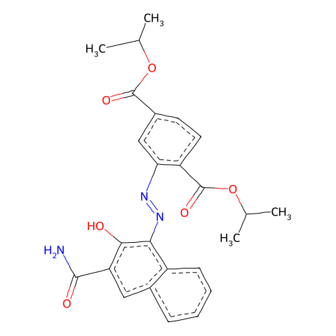 CC(C)OC(=O)c1ccc(C(=O)OC(C)C)c(N=Nc2c(O)c(C(N)=O)cc3ccccc23)c1